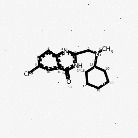 CN(Cc1nc2ccc(Cl)cc2c(=O)[nH]1)C1CCCCC1